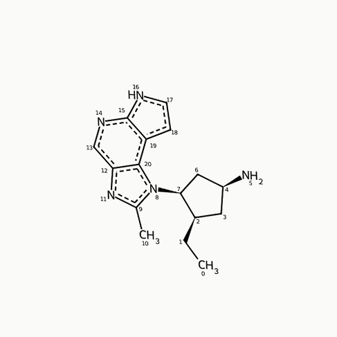 CC[C@@H]1C[C@H](N)C[C@@H]1n1c(C)nc2cnc3[nH]ccc3c21